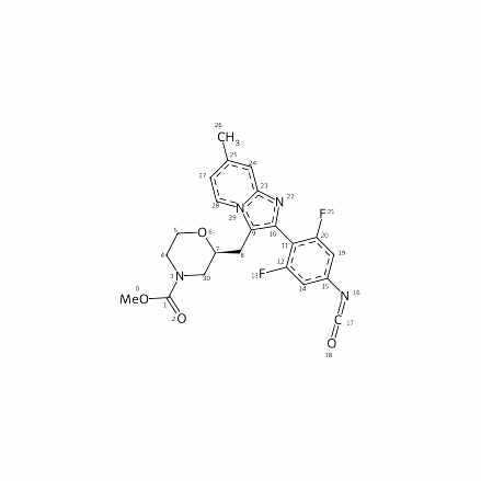 COC(=O)N1CCO[C@@H](Cc2c(-c3c(F)cc(N=C=O)cc3F)nc3cc(C)ccn23)C1